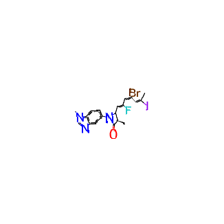 C\C(I)=C/C(Br)=C\C(F)=C\C1[C@@H](C)C(=O)N1c1ccc2c(c1)ncn2C